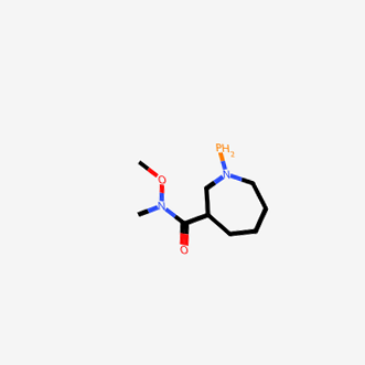 CON(C)C(=O)C1CCCCN(P)C1